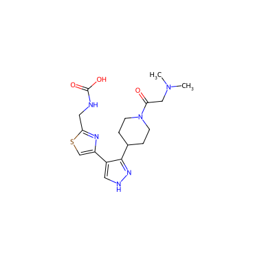 CN(C)CC(=O)N1CCC(c2n[nH]cc2-c2csc(CNC(=O)O)n2)CC1